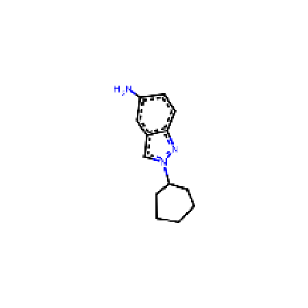 Nc1ccc2nn(C3CCCCC3)cc2c1